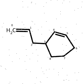 C=CC[C]1C=CCCC1